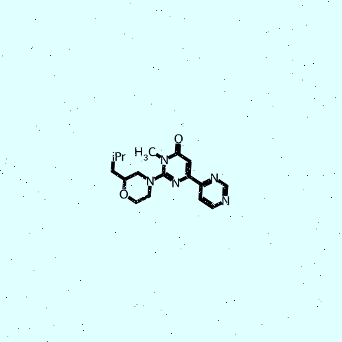 CC(C)CC1CN(c2nc(-c3ccncn3)cc(=O)n2C)CCO1